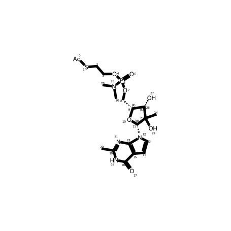 CC(=O)SCCOP(=O)(OC[C@H]1O[C@@H](n2ccc3c(=O)[nH]c(C)nc32)C(C)(O)[C@H]1O)N(C)C